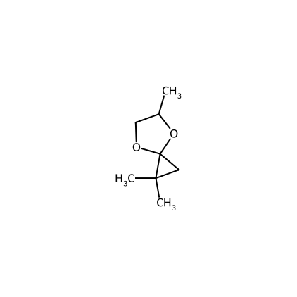 CC1COC2(CC2(C)C)O1